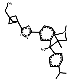 CC(C)c1ccc([C@](O)(c2cccc(-c3noc(C45CC(CO)(C4)C5)n3)c2)C2(C)CN(C)C2)cc1